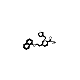 O=C(O)C1C=CC(CCOc2cccc3ccccc23)=CN1CC1CCOC1